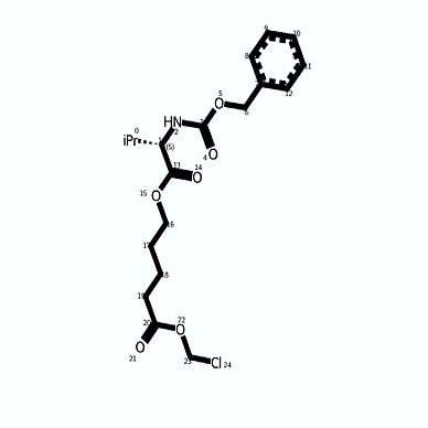 CC(C)[C@H](NC(=O)OCc1ccccc1)C(=O)OCCCCC(=O)OCCl